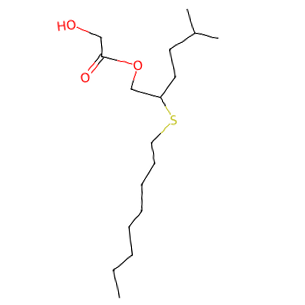 CCCCCCCCSC(CCC(C)C)COC(=O)CO